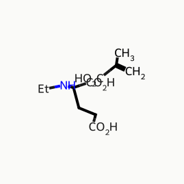 C=C(C)C(=O)O.CCNC(CCC(=O)O)C(=O)O